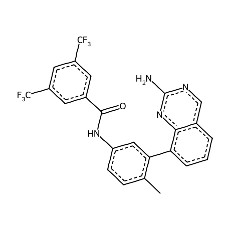 Cc1ccc(NC(=O)c2cc(C(F)(F)F)cc(C(F)(F)F)c2)cc1-c1cccc2cnc(N)nc12